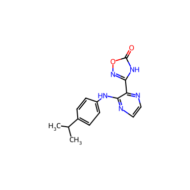 CC(C)c1ccc(Nc2nccnc2-c2noc(=O)[nH]2)cc1